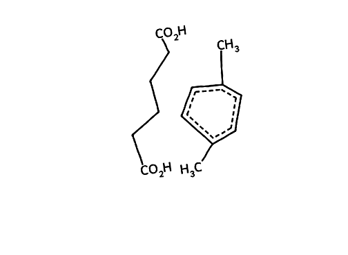 Cc1ccc(C)cc1.O=C(O)CCCCC(=O)O